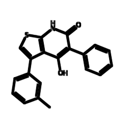 Cc1cccc(-c2csc3[nH]c(=O)c(-c4ccccc4)c(O)c23)c1